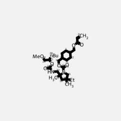 C=CC(=O)OCC1CCC(COC(=O)N2CC(C)(CC)CC2(C)CNC(=O)OC(CCCC)COC)CC1